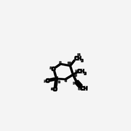 C#CC1(C)CS(=O)(=O)OCC1C